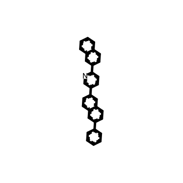 c1ccc(-c2ccc3cc(-c4ccc(-c5ccc6ccccc6c5)nc4)ccc3c2)cc1